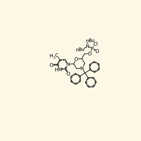 CCCCN(CCCC)P(=O)(Cl)OCC1CN(C(c2ccccc2)(c2ccccc2)c2ccccc2)CC(n2cc(C)c(=O)[nH]c2=O)O1